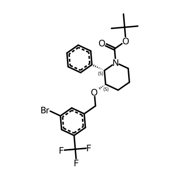 CC(C)(C)OC(=O)N1CCC[C@H](OCc2cc(Br)cc(C(F)(F)F)c2)[C@@H]1c1ccccc1